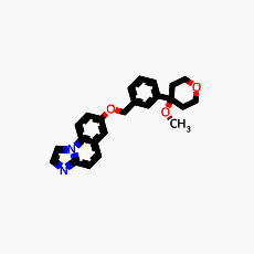 COC1(c2cccc(COc3ccc4c(ccc5nccn54)c3)c2)CCOCC1